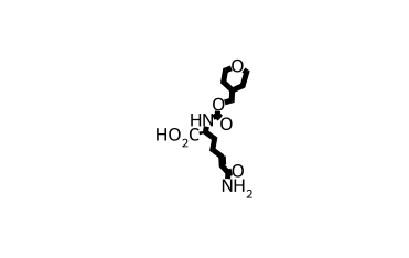 NC(=O)/C=C/CC[C@H](NC(=O)OCC1CCOCC1)C(=O)O